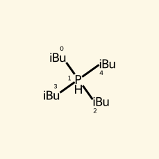 CCC(C)[PH](C(C)CC)(C(C)CC)C(C)CC